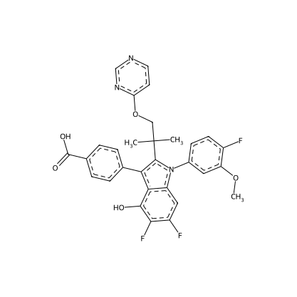 COc1cc(-n2c(C(C)(C)COc3ccncn3)c(-c3ccc(C(=O)O)cc3)c3c(O)c(F)c(F)cc32)ccc1F